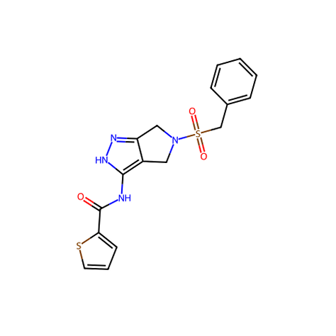 O=C(Nc1[nH]nc2c1CN(S(=O)(=O)Cc1ccccc1)C2)c1cccs1